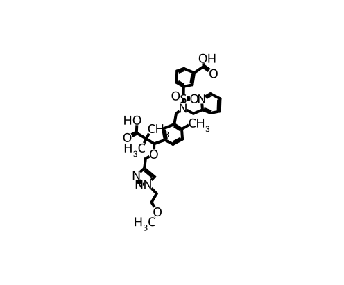 COCCn1cc(COC(c2ccc(C)c(CN(Cc3ccccn3)S(=O)(=O)c3cccc(C(=O)O)c3)c2)C(C)(C)C(=O)O)nn1